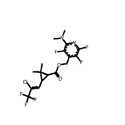 CN(C)c1nc(F)c(F)c(COC(=O)C2C(C=C(Cl)C(F)(F)F)C2(C)C)c1F